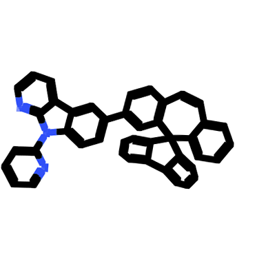 C1=Cc2ccc(-c3ccc4c(c3)c3cccnc3n4-c3ccccn3)cc2C2(c3ccccc31)c1ccccc1-c1ccccc12